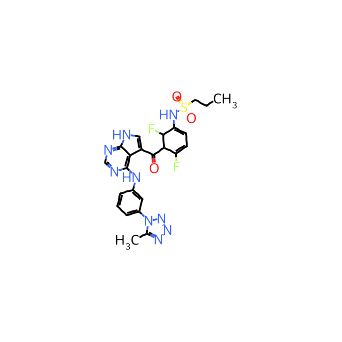 CCCS(=O)(=O)NC1=CC=C(F)C(C(=O)c2c[nH]c3ncnc(Nc4cccc(-n5nnnc5C)c4)c23)C1F